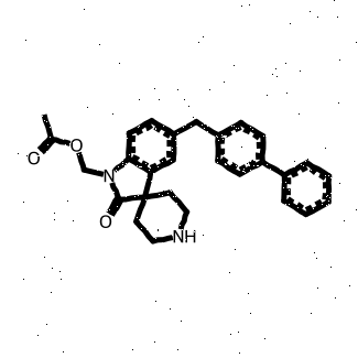 CC(=O)OCN1C(=O)C2(CCNCC2)c2cc(Cc3ccc(-c4ccccc4)cc3)ccc21